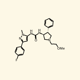 COCCN1C[C@@H](NC(=O)Nc2cc(-c3ccc(F)cc3)nn2C)[C@H](c2ccccc2)C1